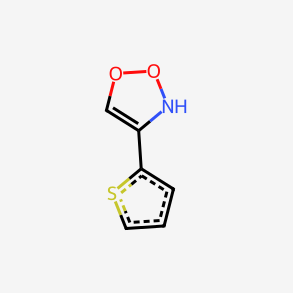 C1=C(c2cccs2)NOO1